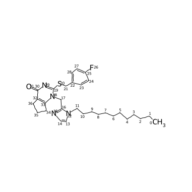 CCCCCCCCCCCCn1ccnc1Cn1c(SCc2ccc(F)cc2)nc(=O)c2c1CCC2